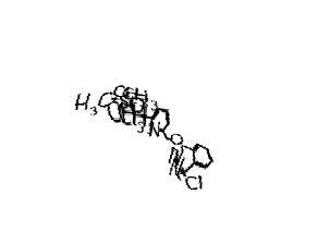 CC(C)(C)[Si](C)(C)OCc1cccc(COc2nnc(Cl)c3ccccc23)n1